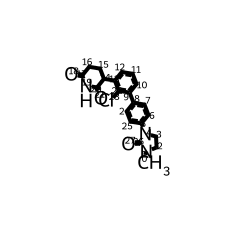 CN1CCN(c2ccc(-c3cccc(C4CCC(=O)NC4=O)c3Cl)cc2)C1=O